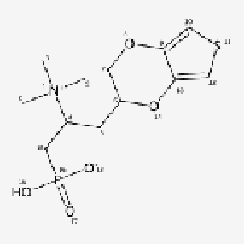 C[N+](C)(C)C(CC1COc2cscc2O1)CP(=O)([O-])O